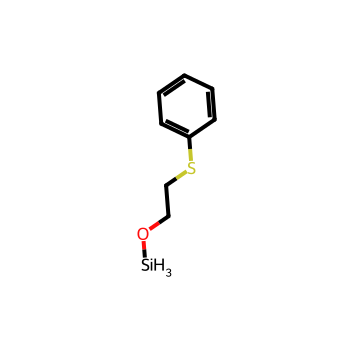 [SiH3]OCCSc1ccccc1